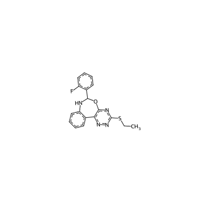 CCSc1nnc2c(n1)OC(c1ccccc1F)Nc1ccccc1-2